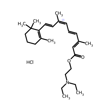 CCN(CC)CCOC(=O)C=C(C)C=C/C=C(/C)C=CC1=C(C)CCCC1(C)C.Cl